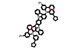 CC(C)c1ccc(N(c2cccc(C3CCCC3)c2)c2ccc3c4cc5c(cc4n4c6ccccc6c2c34)c2ccc(N(c3cccc(C4CCCC4)c3)c3ccc(C(C)C)cc3-c3ccccc3)c3c4ccccc4n5c23)c(-c2ccccc2)c1